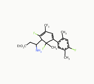 CCOC(=O)CC(N)C1C(F)=C(C(F)(F)F)C=C(c2cc(C)c(F)cc2C)C1(C)F